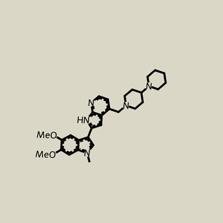 COc1cc2c(-c3cc4c(CN5CCC(N6CCCCC6)CC5)ccnc4[nH]3)cn(C)c2cc1OC